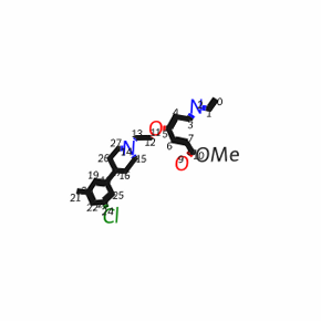 C=C/N=C/C=C(\C=C\C(=O)OC)OCCN1CCC(c2cc(C)cc(Cl)c2)CC1